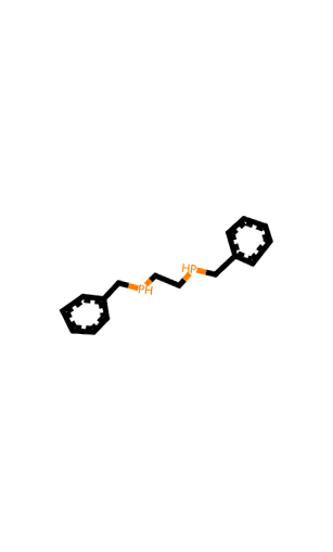 c1ccc(CPCCPCc2ccccc2)cc1